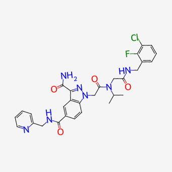 CC(C)N(CC(=O)NCc1cccc(Cl)c1F)C(=O)Cn1nc(C(N)=O)c2cc(C(=O)NCc3ccccn3)ccc21